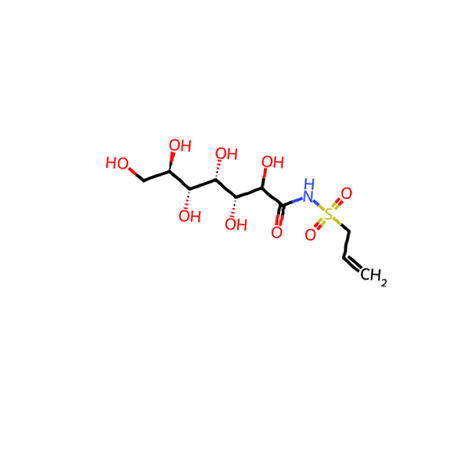 C=CCS(=O)(=O)NC(=O)C(O)[C@H](O)[C@@H](O)[C@H](O)[C@H](O)CO